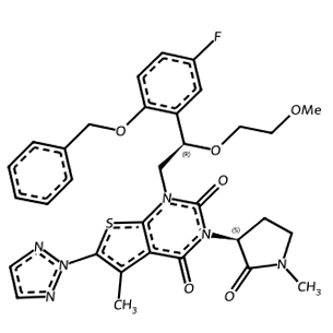 COCCO[C@@H](Cn1c(=O)n([C@H]2CCN(C)C2=O)c(=O)c2c(C)c(-n3nccn3)sc21)c1cc(F)ccc1OCc1ccccc1